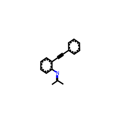 CC(C)=Nc1ccccc1C#Cc1ccccc1